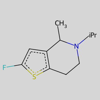 CC(C)N1CCc2sc(F)cc2C1C